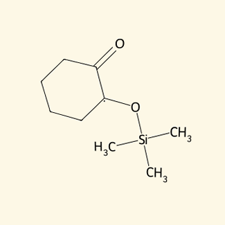 C[Si](C)(C)O[C]1CCCCC1=O